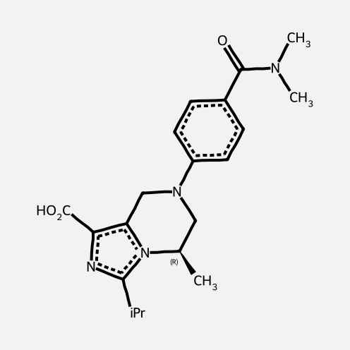 CC(C)c1nc(C(=O)O)c2n1[C@H](C)CN(c1ccc(C(=O)N(C)C)cc1)C2